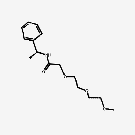 COCCOCCOCC(=O)N[C@@H](C)c1ccccc1